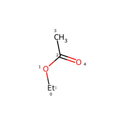 C[C]OC(C)=O